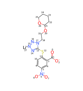 O=C([O-])c1cc([N+](=O)[O-])ccc1Sc1nnnn1CCOC1CCCCO1.[Li+]